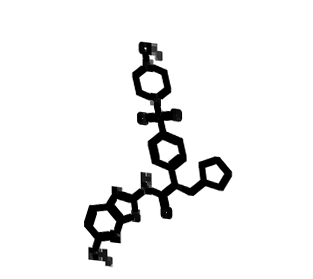 CN1CCN(S(=O)(=O)c2ccc([C@@H](CC3CCCC3)C(=O)Nc3nc4ccc(N)nc4s3)cc2)CC1